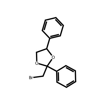 BrCC1(c2ccccc2)OCC(c2ccccc2)O1